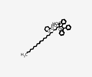 CCCCCCCCC=CCCCCCCC[C@@H](C[C@H](O)[C@@](O)(C(=O)O)C(c1ccccc1)C(c1ccccc1)c1ccccc1)OC1CCCCO1